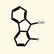 O=CC1c2ccccc2-c2cccc(Br)c21